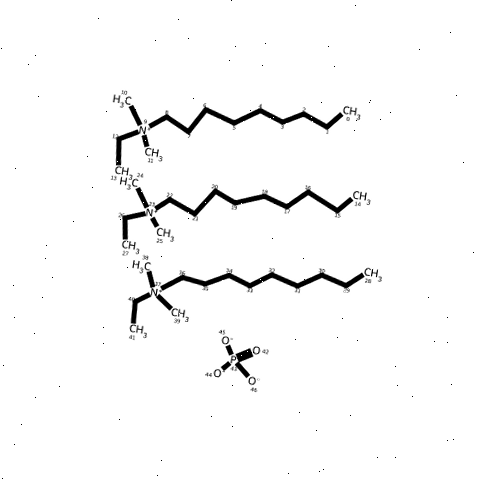 CCCCCCCCC[N+](C)(C)CC.CCCCCCCCC[N+](C)(C)CC.CCCCCCCCC[N+](C)(C)CC.O=P([O-])([O-])[O-]